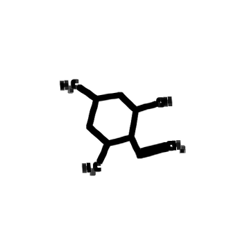 C=CC1C(C)CC(C)CC1O